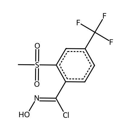 CS(=O)(=O)c1cc(C(F)(F)F)ccc1C(Cl)=NO